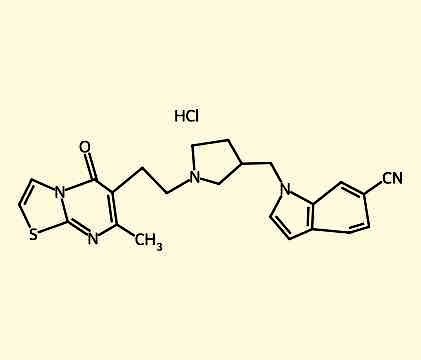 Cc1nc2sccn2c(=O)c1CCN1CCC(Cn2ccc3ccc(C#N)cc32)C1.Cl